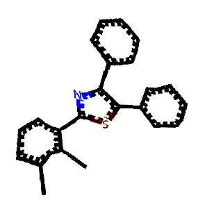 Cc1cccc(-c2nc(-c3ccccc3)c(-c3ccccc3)s2)c1C